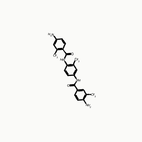 Nc1ccc(C(=O)Nc2ccc(NC(=O)c3ccc(N)c(C(F)(F)F)c3)cc2C(F)(F)F)c(C(F)(F)F)c1